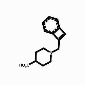 O=C(O)C1CCN(CC2=Cc3ccccc32)CC1